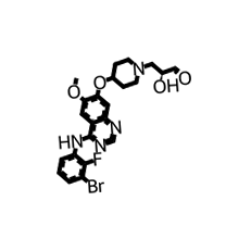 COc1cc2c(Nc3cccc(Br)c3F)ncnc2cc1OC1CCN(C[C@@H](O)C=O)CC1